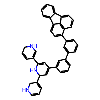 C1=CNCC(C2C=C(c3cccc(-c4cccc(-c5ccc6c7c(cccc57)-c5ccccc5-6)c4)c3)C=C(C3=CNCC=C3)N2)=C1